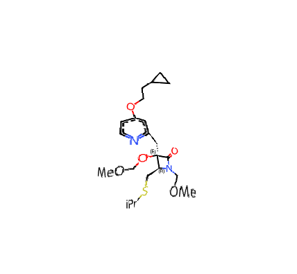 COCO[C@@]1(Cc2cc(OCCC3CC3)ccn2)C(=O)N(COC)[C@H]1CSC(C)C